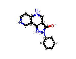 O=c1c2c[nH]c3ccncc3c-2nn1-c1ccccc1